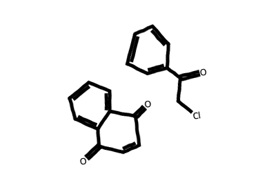 O=C(CCl)c1ccccc1.O=C1C=CC(=O)c2ccccc21